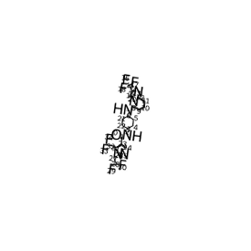 O=C(N[C@H]1CC[C@@H](Nc2cccc3nc(C(F)(F)F)cn23)CC1)c1cnn(CC(F)F)c1C(F)F